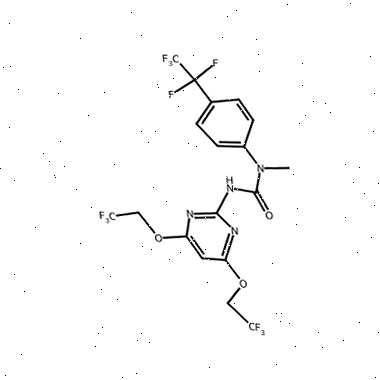 CN(C(=O)Nc1nc(OCC(F)(F)F)cc(OCC(F)(F)F)n1)c1ccc(C(F)(F)C(F)(F)F)cc1